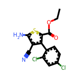 CCOC(=O)c1sc(N)c(C#N)c1-c1ccc(Cl)cc1Cl